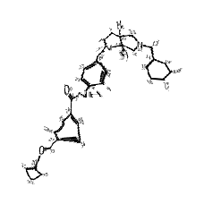 O=C(Nc1ccc(N2CC[C@@H]3CN(CC4CCCCC4)C[C@@H]32)cc1)c1ccc(COC2CCC2)cc1